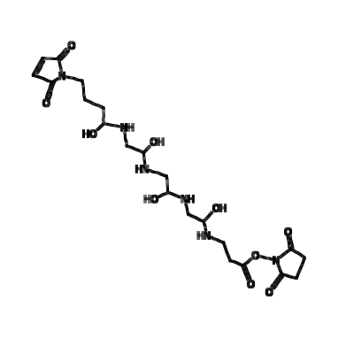 O=C(CCNC(O)CNC(O)CNC(O)CNC(O)CCCN1C(=O)C=CC1=O)ON1C(=O)CCC1=O